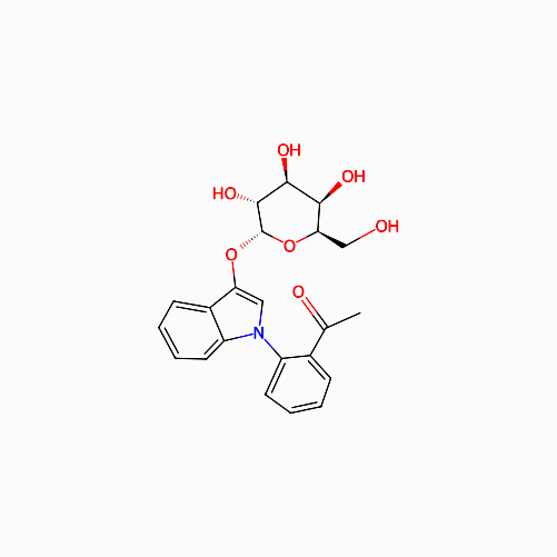 CC(=O)c1ccccc1-n1cc(O[C@H]2O[C@H](CO)[C@H](O)[C@H](O)[C@H]2O)c2ccccc21